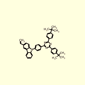 C=Cc1ccc2c(c1)c1ccccc1n2-c1ccc(-c2nc(-c3ccc(C(C)(C)C)cc3)nc(-c3ccc(C(C)(C)C)cc3)n2)cc1